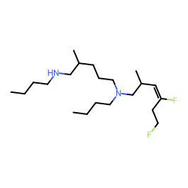 CCCCNCC(C)CCCN(CCCC)CC(C)/C=C(/F)CCF